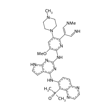 CN/C=C(\C=N)c1nc(Nc2nc(Nc3ccc4nccnc4c3P(C)(C)=O)c3cc[nH]c3n2)c(OC)cc1N1CCN(C)CC1